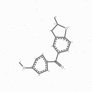 COc1ccc(C(=O)c2ccc3c(c2)CC(C)O3)cc1